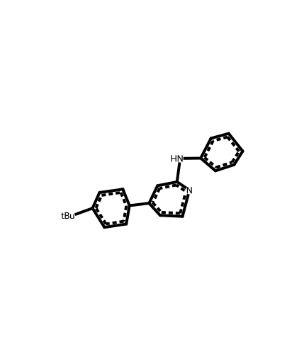 CC(C)(C)c1ccc(-c2ccnc(Nc3ccccc3)c2)cc1